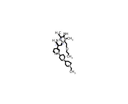 CCCOCCCN(C)C(=N)\C(CC)=N/N=C\C(=C/N)C1=CN(C2CCN(C3CCN(CC)CC3)CC2)N=CC1